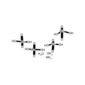 N.O.O.[O]=[Mo](=[O])([OH])[OH].[O]=[Mo](=[O])([OH])[OH].[O]=[Mo](=[O])([OH])[OH].[O]=[Mo](=[O])([OH])[OH]